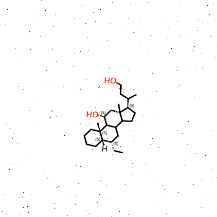 CC[C@H]1CC2C3CC[C@H](C(C)CCO)C3(C)C[C@H](O)C2[C@@]2(C)CCCC[C@@H]12